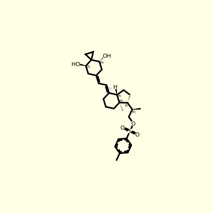 Cc1ccc(S(=O)(=O)OC[C@H](C)[C@H]2CC[C@H]3/C(=C/C=C4C[C@@H](O)C5(CC5)[C@H](O)C4)CCC[C@]23C)cc1